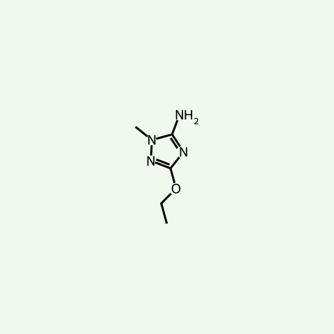 CCOc1nc(N)n(C)n1